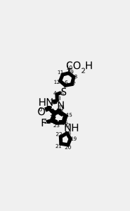 O=c1[nH]c(CS[C@H]2CC[C@H](C(=O)O)CC2)nc2cc(NC3CCCC3)cc(F)c12